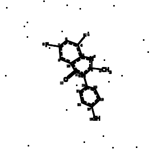 Cc1nc2c(F)cc(F)cc2c(=O)n1-c1ccc(S)cc1